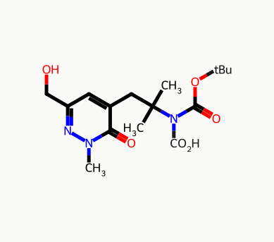 Cn1nc(CO)cc(CC(C)(C)N(C(=O)O)C(=O)OC(C)(C)C)c1=O